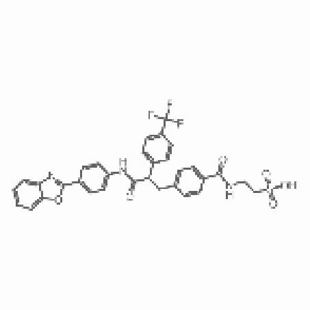 O=C(NCCS(=O)(=O)O)c1ccc(CC(C(=O)Nc2ccc(-c3nc4ccccc4o3)cc2)c2ccc(C(F)(F)F)cc2)cc1